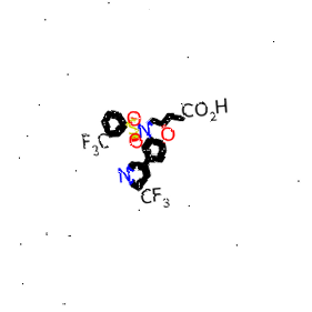 O=C(O)CCC1CN(S(=O)(=O)c2cccc(C(F)(F)F)c2)c2cc(-c3cncc(C(F)(F)F)c3)ccc2O1